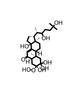 C[C@H](C(O)CCC(C)(C)O)[C@H]1CC[C@@]2(O)C3=CC(=O)[C@@H]4C[C@@](O)(OO)C(O)(O)C[C@]4(C)[C@H]3CC[C@]12C